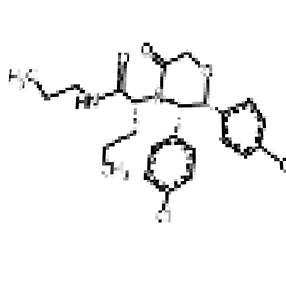 CCCNC(=O)[C@@H](CCC)N1C(=O)CO[C@H](c2ccc(Cl)cc2)[C@@H]1c1ccc(Cl)cc1